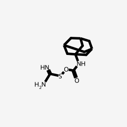 N=C(N)SOC(=O)NC12CC3CC(CC(C3)C1)C2